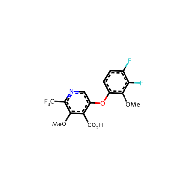 COc1c(Oc2cnc(C(F)(F)F)c(OC)c2C(=O)O)ccc(F)c1F